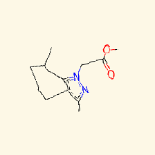 COC(=O)Cn1nc(C)c2c1C(C)CCC2